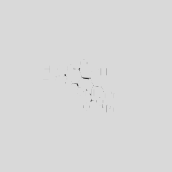 CC(C)CC(NC(=O)OC(C)(C)C)C(O)=C1C(=O)OC(C)(C)OC1=O